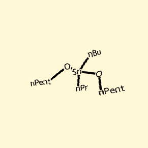 CCCCC[O][Sn]([CH2]CC)([CH2]CCC)[O]CCCCC